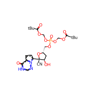 CC(C)(C)C(=O)OCOP(=O)(OCOC(=O)C(C)(C)C)OC[C@@H]1C[C@@H](O)[C@](C#N)(c2ccc3c(=O)[nH]cnn23)O1